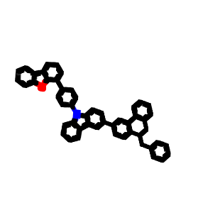 c1ccc(CC2Cc3ccccc3-c3cc(-c4ccc5c(c4)c4ccccc4n5-c4ccc(-c5cccc6c5oc5ccccc56)cc4)ccc32)cc1